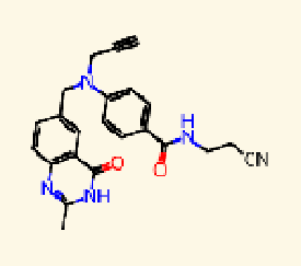 C#CCN(Cc1ccc2nc(C)[nH]c(=O)c2c1)c1ccc(C(=O)NCCC#N)cc1